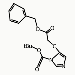 CC(C)(C)OC(=O)n1cncc1CCC(=O)OCc1ccccc1